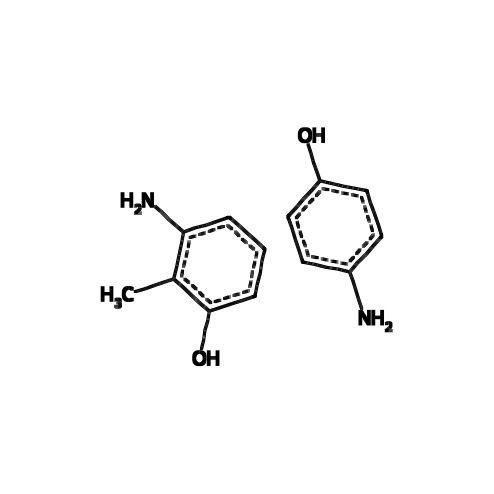 Cc1c(N)cccc1O.Nc1ccc(O)cc1